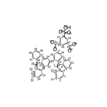 Cc1cccc([P+](C)(c2ccccc2)c2ccccc2)c1C.Cc1cccc([P+](C)(c2ccccc2)c2ccccc2)c1C.O=C([O-])c1cc(C(=O)[O-])cc(S(=O)(=O)O)c1